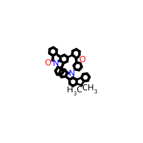 CC1(C)c2ccccc2-c2c1ccc1c3ccccc3n(-c3ccc4oc5cccc(-c6cc7c8ccccc8c(=O)n8c9ccccc9c(c6)c78)c5c4c3)c21